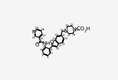 O=C(Nc1ccccc1-c1cc2ccc(CN3CCN(C(=O)O)CC3)cc2o1)c1cccnc1